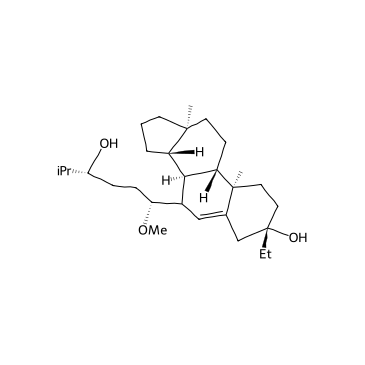 CC[C@]1(O)CC[C@@]2(C)C(=CC([C@@H](CC[C@@H](O)C(C)C)OC)[C@H]3[C@@H]4CCC[C@@]4(C)CC[C@@H]32)C1